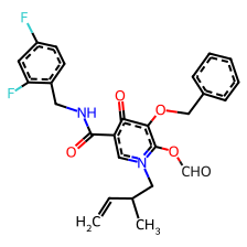 C=CC(C)Cn1cc(C(=O)NCc2ccc(F)cc2F)c(=O)c(OCc2ccccc2)c1OC=O